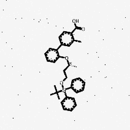 Cc1cc(-c2ccccc2O[C@H](C)CCO[Si](c2ccccc2)(c2ccccc2)C(C)(C)C)ccc1C(=O)O